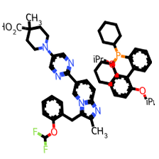 CC(C)Oc1cccc(OC(C)C)c1-c1ccccc1P(C1CCCCC1)C1CCCCC1.Cc1nc2ccc(-c3ncc(N4CCC(C)(C(=O)O)CC4)cn3)cn2c1Cc1ccccc1OC(F)F